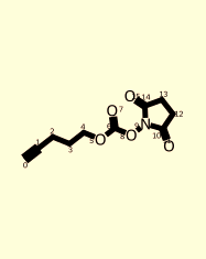 C#CCCCOC(=O)ON1C(=O)CCC1=O